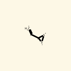 C=CC1SS1